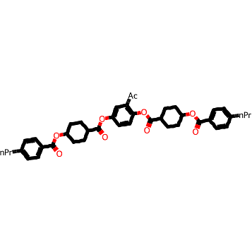 CCCc1ccc(C(=O)OC2CCC(C(=O)Oc3ccc(OC(=O)C4CCC(OC(=O)c5ccc(CCC)cc5)CC4)c(C(C)=O)c3)CC2)cc1